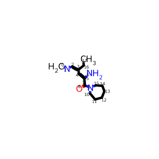 C=N/C=C(\C=C(/N)C(=O)N1CCCCCC1)CC